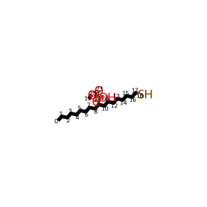 CCCCCCCCCCCCCCCCCCS.COS(=O)(=O)O